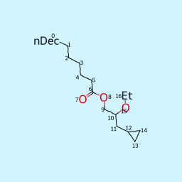 CCCCCCCCCCCCCCCC(=O)OCC(CC1CC1)OCC